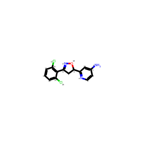 Nc1ccnc(C2CC(c3c(Cl)cccc3Cl)=NO2)c1